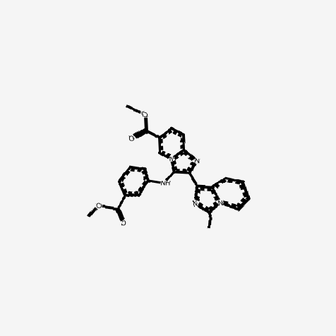 COC(=O)c1cccc(Nc2c(-c3nc(C)n4ccccc34)nc3ccc(C(=O)OC)cn23)c1